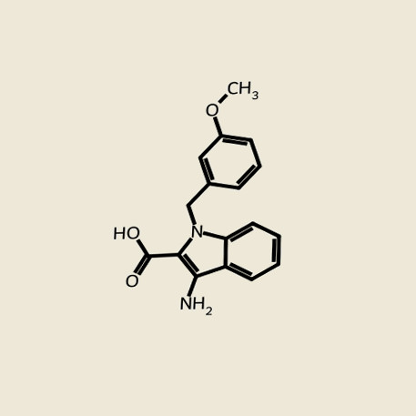 COc1cccc(Cn2c(C(=O)O)c(N)c3ccccc32)c1